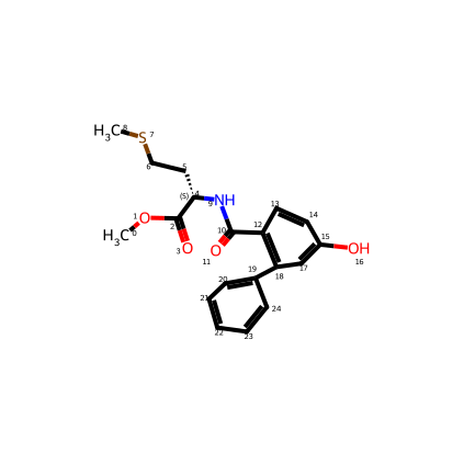 COC(=O)[C@H](CCSC)NC(=O)c1ccc(O)cc1-c1ccccc1